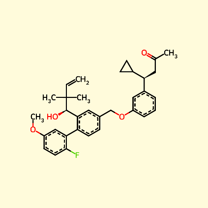 C=CC(C)(C)[C@H](O)c1cc(COc2cccc([C@H](CC(C)=O)C3CC3)c2)ccc1-c1cc(OC)ccc1F